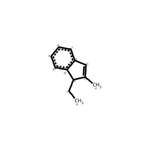 CCC1C(C)=[C]c2ccccc21